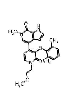 COCCn1ccc(-c2cn(C)c(=O)c3[nH]ccc23)c(Oc2c(C)cccc2C)c1=O